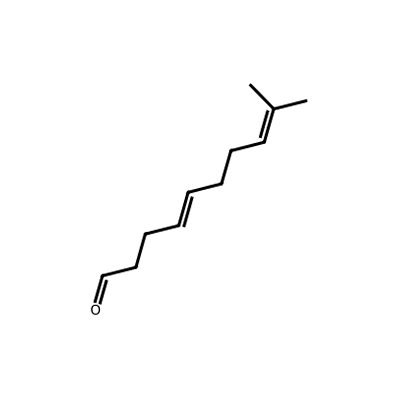 CC(C)=CCCC=CCCC=O